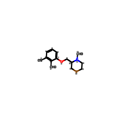 O=Cc1c(N=O)cccc1OCC1CSCCN1C=O